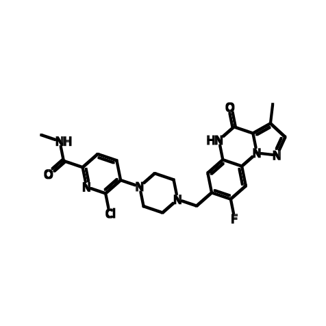 CNC(=O)c1ccc(N2CCN(Cc3cc4[nH]c(=O)c5c(C)cnn5c4cc3F)CC2)c(Cl)n1